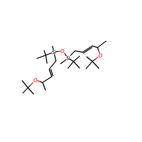 CC(C=CC[Si](C)(O[Si](C)(CC=CC(C)OC(C)(C)C)C(C)(C)C)C(C)(C)C)OC(C)(C)C